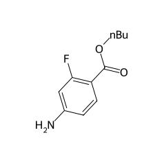 CCCCOC(=O)c1ccc(N)cc1F